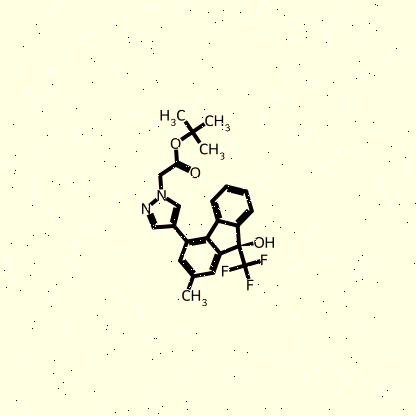 Cc1cc(-c2cnn(CC(=O)OC(C)(C)C)c2)c2c(c1)[C@@](O)(C(F)(F)F)c1ccccc1-2